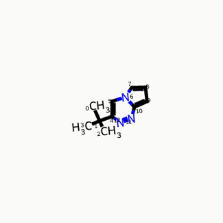 CC(C)(C)c1cn2cccc2nn1